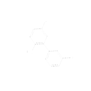 Cc1[c]ccc(-c2cc(Br)ccc2C)c1